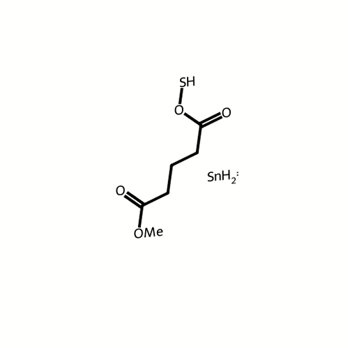 COC(=O)CCCC(=O)OS.[SnH2]